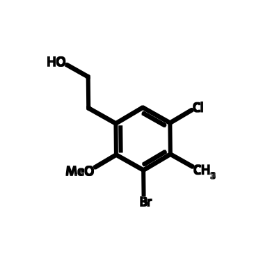 COc1c(CCO)cc(Cl)c(C)c1Br